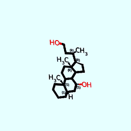 C[C@H](CCO)[C@H]1CCC2C3C(CC[C@@]21C)[C@@]1(C)CCCC[C@H]1C[C@@H]3O